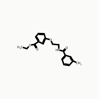 CCOC(=O)c1cccc(OCCNC(=O)c2cccc(C)c2)c1